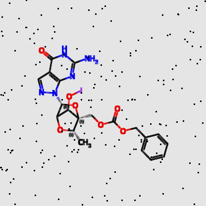 C[C@@H]1OC2C(OI)[C@@]1(COC(=O)OCc1ccccc1)O[C@H]2n1ncc2c(=O)[nH]c(N)nc21